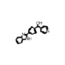 OC(c1ccncc1)c1ccc(-c2nc3ccccc3[nH]2)cc1